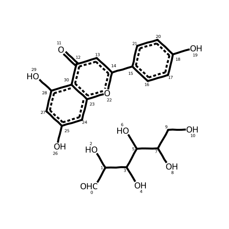 O=CC(O)C(O)C(O)C(O)CO.O=c1cc(-c2ccc(O)cc2)oc2cc(O)cc(O)c12